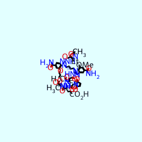 CCc1nc(C)oc1C(=O)Nc1nc2cc(C(N)=O)cc(OC)c2n1C/C=C/Cn1c(NC(=O)c2oc(C)nc2CC)nc2cc(C(N)=O)cc(OCCCOC(=O)[C@H](C)NC(=O)[C@H](CCC(=O)O)NC(=O)CN3C(=O)C=CC3=O)c21